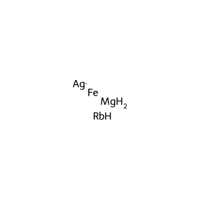 [Ag].[Fe].[MgH2].[RbH]